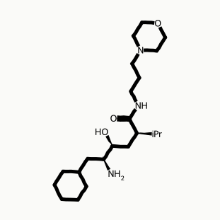 CC(C)[C@@H](C[C@H](O)[C@@H](N)CC1CCCCC1)C(=O)NCCCN1CCOCC1